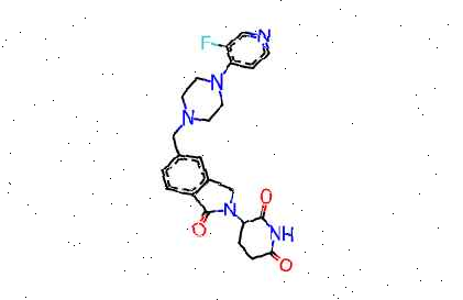 O=C1CCC(N2Cc3cc(CN4CCN(c5ccncc5F)CC4)ccc3C2=O)C(=O)N1